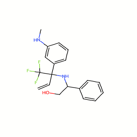 C=CC(NC(CO)c1ccccc1)(c1cccc(NC)c1)C(F)(F)F